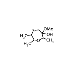 COC1(O)CSC(C)C(C)OC1C